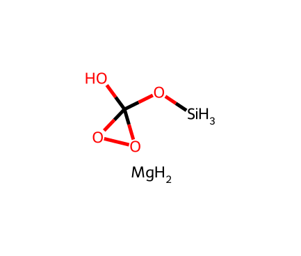 OC1(O[SiH3])OO1.[MgH2]